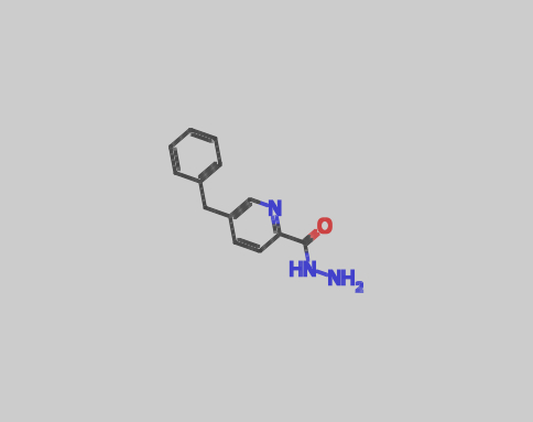 NNC(=O)c1ccc(Cc2ccccc2)cn1